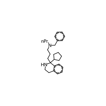 CCCN(CCCC1(C2CCCC2)NCCc2ccccc21)Cc1ccccc1